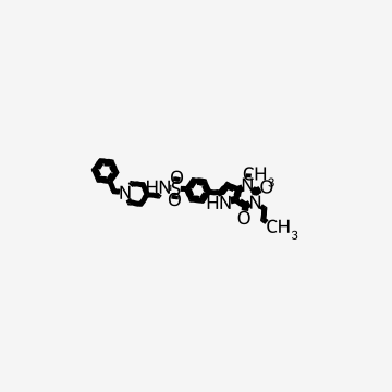 CCCn1c(=O)c2[nH]c(-c3ccc(S(=O)(=O)NCC4CCN(Cc5ccccc5)CC4)cc3)cc2n(C)c1=O